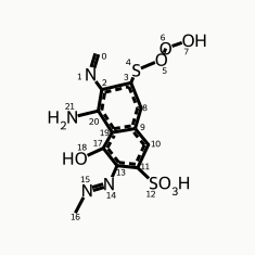 C=Nc1c(SOOO)cc2cc(S(=O)(=O)O)c(N=NC)c(O)c2c1N